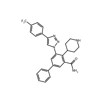 NC(=O)c1cc(-c2ccccc2)cc(-n2cc(-c3ccc(C(F)(F)F)cc3)nn2)c1C1CCNCC1